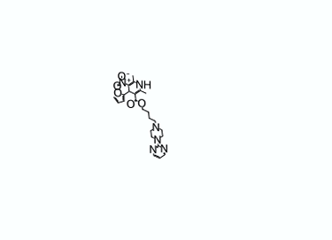 CC1=C(C(=O)OCCCCN2CCN(c3ncccn3)CC2)C(c2ccco2)C([N+](=O)[O-])=C(C)N1